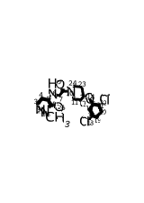 Cn1nccc(NCC(=O)N2CCC(Oc3cc(Cl)ccc3Cl)CC2)c1=O